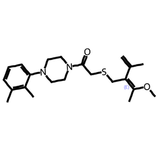 C=C(C)/C(CSCC(=O)N1CCN(c2cccc(C)c2C)CC1)=C(/C)OC